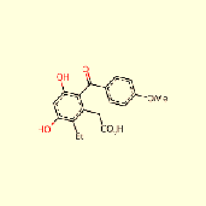 CCc1c(O)cc(O)c(C(=O)c2ccc(OC)cc2)c1CC(=O)O